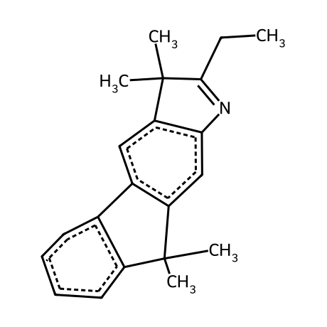 CCC1=Nc2cc3c(cc2C1(C)C)-c1ccccc1C3(C)C